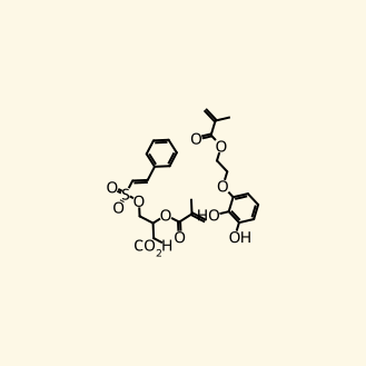 C=C(C)C(=O)OC(COS(=O)(=O)C=Cc1ccccc1)CC(=O)O.C=C(C)C(=O)OCCOc1cccc(O)c1O